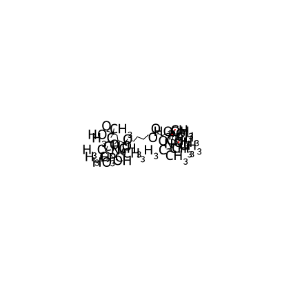 CC(C)(CC(ON(C(P(O)O)C(C)(C)C)C(C)(C)C)C(=O)OCCCCOC(=O)C(CC(C)(C)C(=O)O)ON(C(P(O)O)C(C)(C)C)C(C)(C)C)C(=O)O